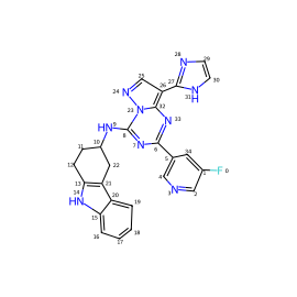 Fc1cncc(-c2nc(NC3CCc4[nH]c5ccccc5c4C3)n3ncc(-c4ncc[nH]4)c3n2)c1